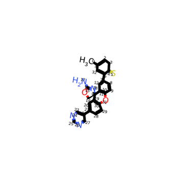 CC1=CCC(=S)C(c2ccc3c(c2)[C@]2(COC(N)=N2)c2cc(-c4cncnc4)ccc2O3)=C1